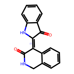 O=C1NCc2ccccc2/C1=C1/Nc2ccccc2C1=O